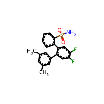 Cc1cc(C)cc(-c2cc(F)c(F)cc2-c2ccccc2S(N)(=O)=O)c1